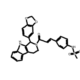 CS(=O)(=O)Nc1ccc(/C=C/C(=O)N2CCc3c([nH]c4ccccc34)C2c2ccc3c(c2)OCO3)cc1